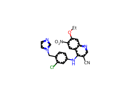 CCOc1cc2ncc(C#N)c(Nc3ccc(Cn4ccnc4)c(Cl)c3)c2cc1[N+](=O)[O-]